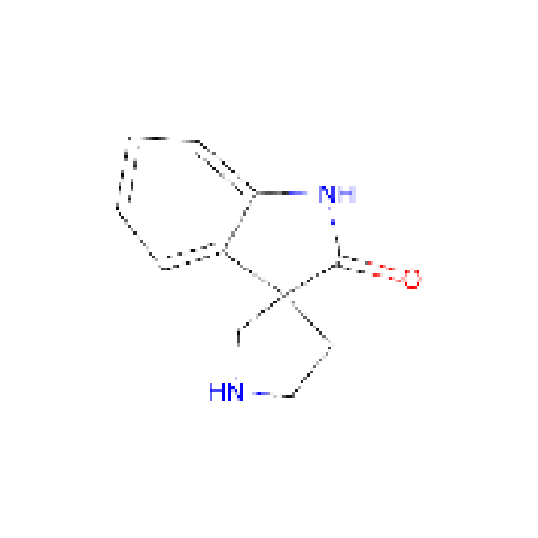 O=C1Nc2ccccc2C12CCNC2